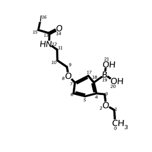 CCOCc1ccc(OCCCNC(=O)CI)cc1B(O)O